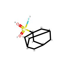 O=S(=O)(F)C12CC3CC(CC(C3)C1)C2